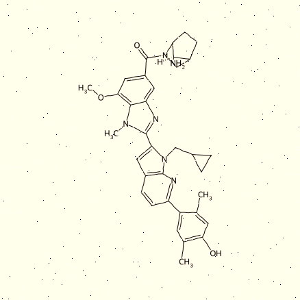 COc1cc(C(=O)N2CC3CCC2[C@@H]3N)cc2nc(-c3cc4ccc(-c5cc(C)c(O)cc5C)nc4n3CC3CC3)n(C)c12